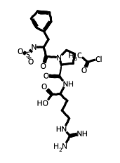 CC(=O)Cl.N=C(N)NCCCC(NC(=O)[C@@H]1CCCN1C(=O)C(Cc1ccccc1)N=S(=O)=O)C(=O)O